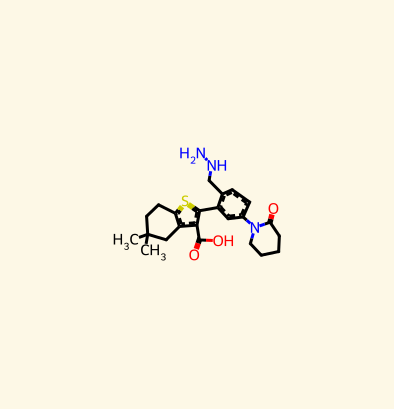 CC1(C)CCc2sc(-c3cc(N4CCCCC4=O)ccc3CNN)c(C(=O)O)c2C1